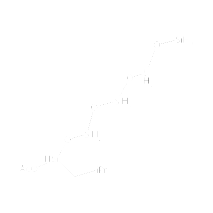 CC(=O)O[SiH](CC(C)C)O[SiH2]O[SiH2]O[SiH2]O[SiH3]